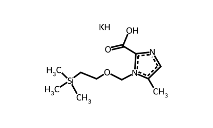 Cc1cnc(C(=O)O)n1COCC[Si](C)(C)C.[KH]